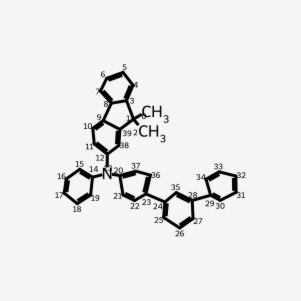 CC1(C)c2ccccc2-c2ccc(N(c3ccccc3)c3ccc(-c4cccc(-c5ccccc5)c4)cc3)cc21